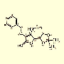 CCCNC1=C(OCc2ccccc2)C(=O)OC1C1COC(C)(C)O1